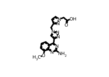 COc1cccc2c(-c3cn(Cc4ccn(CC(=O)O)n4)nn3)nc(N)nc12